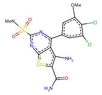 CNS(=O)(=O)c1nc(-c2cc(Cl)c(Cl)c(OC)c2)c2c(N)c(C(N)=O)sc2n1